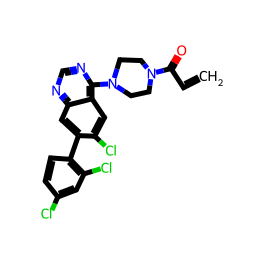 C=CC(=O)N1CCN(c2ncnc3cc(-c4ccc(Cl)cc4Cl)c(Cl)cc23)CC1